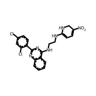 O=[N+]([O-])C1=CC=C(NCCNc2nc(-c3ccc(Cl)cc3Cl)nc3ccccc23)NC1